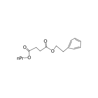 CCCOC(=O)CCC(=O)OCCc1ccccc1